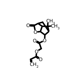 C=CC(=O)OCC(=O)OC1C2OC(=O)C3CC1C(C)(C)C32